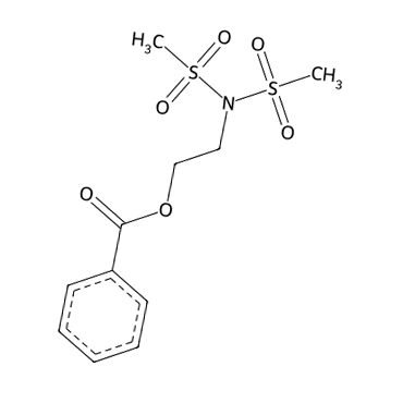 CS(=O)(=O)N(CCOC(=O)c1ccccc1)S(C)(=O)=O